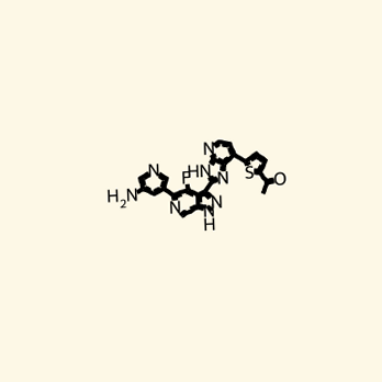 CC(=O)c1ccc(-c2ccnc3[nH]c(-c4n[nH]c5cnc(-c6cncc(N)c6)c(F)c45)nc23)s1